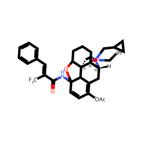 CC(=O)OC1=C2C[C@@H]3[C@@H]4CCCC5OC(NC(=O)C(=Cc6ccccc6)C(F)(F)F)(C=C1)C2[C@@]54CC[N+]3(CC(C)C)CC1CC1